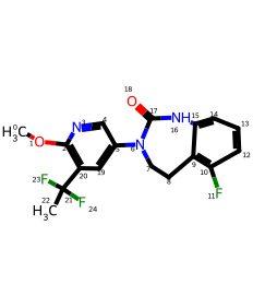 COc1ncc(N2CCc3c(F)cccc3NC2=O)cc1C(C)(F)F